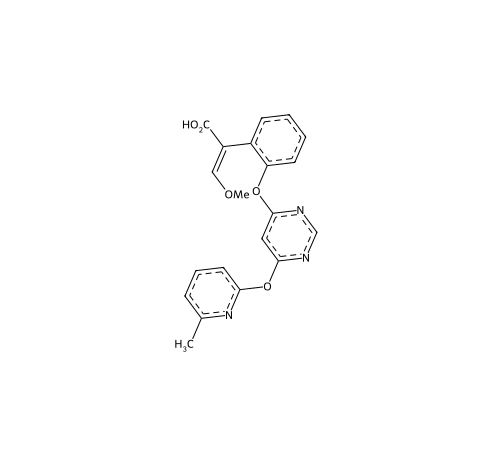 CO/C=C(/C(=O)O)c1ccccc1Oc1cc(Oc2cccc(C)n2)ncn1